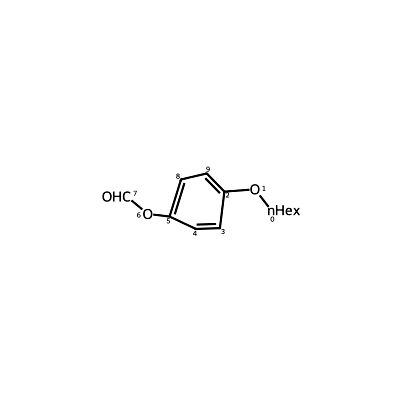 CCCCCCOc1ccc(OC=O)cc1